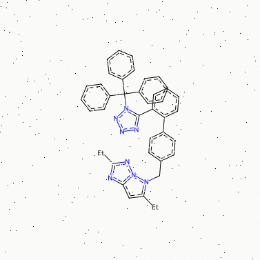 CCc1nc2cc(CC)n(Cc3ccc(-c4ccccc4-c4nnnn4C(c4ccccc4)(c4ccccc4)c4ccccc4)cc3)n2n1